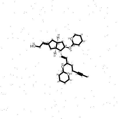 CC#CCCC(/C=C/[C@@H]1[C@H]2C/C(=C\CO)C[C@H]2C[C@H]1OC1CCCCO1)OC1CCCCO1